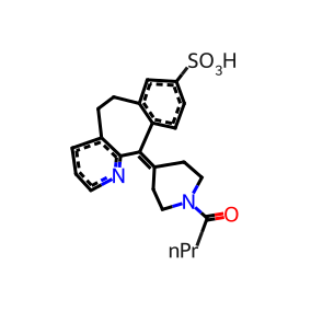 CCCC(=O)N1CCC(=C2c3ccc(S(=O)(=O)O)cc3CCc3cccnc32)CC1